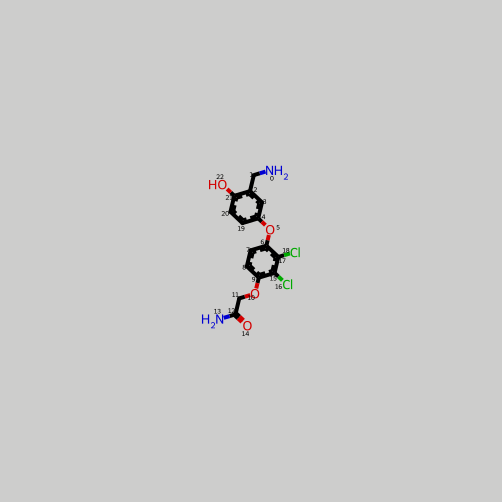 NCc1cc(Oc2ccc(OCC(N)=O)c(Cl)c2Cl)ccc1O